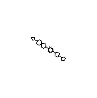 c1cc(N2CCC3(CC2)CCN(C2CCC2)CC3)ncc1N1CCN(C2CCCC2)CC1